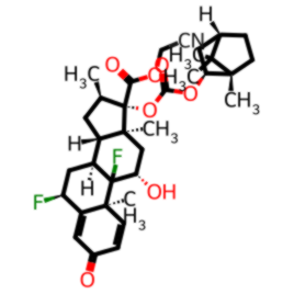 C[C@@H]1C[C@H]2[C@@H]3C[C@H](F)C4=CC(=O)C=C[C@]4(C)C3(F)[C@@H](O)C[C@]2(C)[C@]1(OC(=O)O[C@H]1C[C@@H]2CC[C@@]1(C)C2(C)C)C(=O)OCC#N